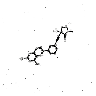 Bc1nc(N)c2nc(-c3cccc(C#C[C@]4(O)C[C@H](C)N(C)C4=O)c3)ccc2n1